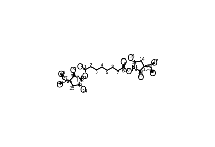 O=C(CCCCCCC(=O)ON1C(=O)CC(=S(=O)=O)C1=O)ON1C(=O)CC(=S(=O)=O)C1=O